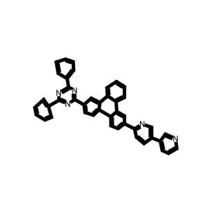 c1ccc(-c2nc(-c3ccccc3)nc(-c3ccc4c5ccc(-c6ccc(-c7cccnc7)cn6)cc5c5ccccc5c4c3)n2)cc1